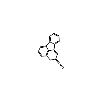 O=C=C1C=C2c3ccccc3-c3cccc(c32)C1